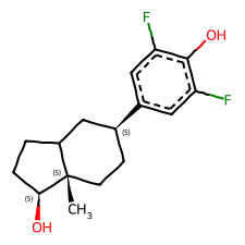 C[C@]12CC[C@H](c3cc(F)c(O)c(F)c3)CC1CC[C@@H]2O